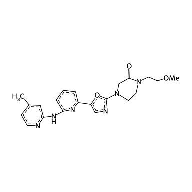 COCCN1CCN(c2ncc(-c3cccc(Nc4cc(C)ccn4)n3)o2)CC1=O